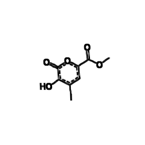 COC(=O)c1cc(I)c(O)c(=O)o1